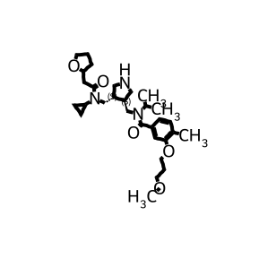 COCCCOc1cc(C(=O)N(C[C@@H]2CNC[C@H]2CN(C(=O)CC2CCCO2)C2CC2)C(C)C)ccc1C